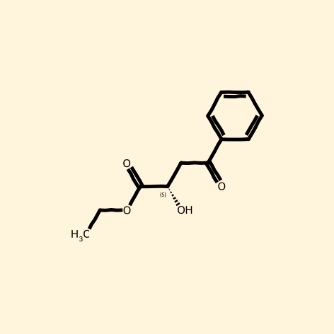 CCOC(=O)[C@@H](O)CC(=O)c1ccccc1